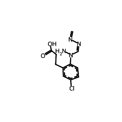 C=N/N=C\N(N)c1ccc(Cl)cc1CCC(=O)O